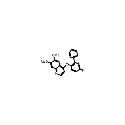 COc1cc2nccc(Oc3ccc(F)nc3-c3ccccn3)c2cc1OC